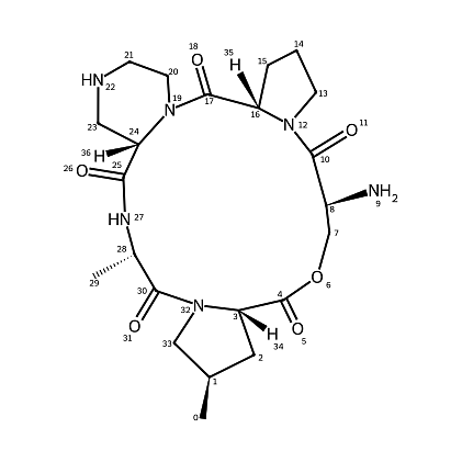 C[C@@H]1C[C@H]2C(=O)OC[C@H](N)C(=O)N3CCC[C@H]3C(=O)N3CCNC[C@H]3C(=O)N[C@@H](C)C(=O)N2C1